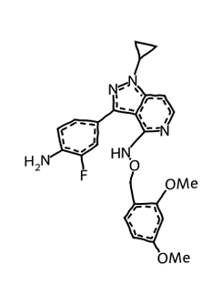 COc1ccc(CONc2nccc3c2c(-c2ccc(N)c(F)c2)nn3C2CC2)c(OC)c1